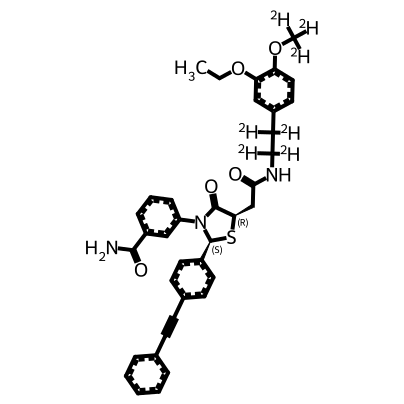 [2H]C([2H])([2H])Oc1ccc(C([2H])([2H])C([2H])([2H])NC(=O)C[C@H]2S[C@@H](c3ccc(C#Cc4ccccc4)cc3)N(c3cccc(C(N)=O)c3)C2=O)cc1OCC